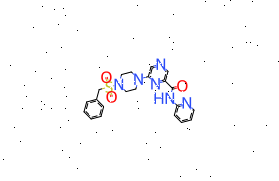 O=C(Nc1ccccn1)c1cncc(N2CCN(S(=O)(=O)Cc3ccccc3)CC2)n1